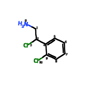 NCC(Cl)c1ccccc1Cl